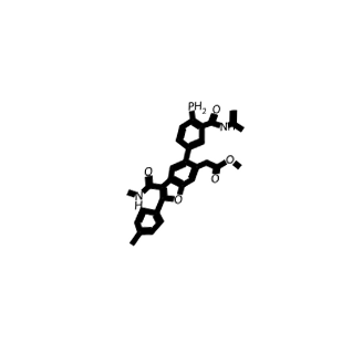 C=C(C)NC(=O)c1cc(-c2cc3c(C(=O)NC)c(-c4ccc(C)cc4)oc3cc2CC(=O)OC)ccc1P